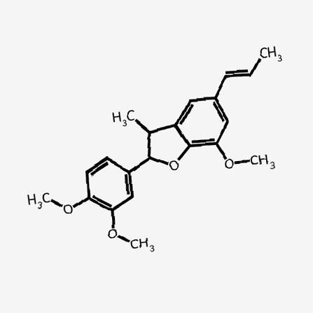 C/C=C/c1cc(OC)c2c(c1)C(C)C(c1ccc(OC)c(OC)c1)O2